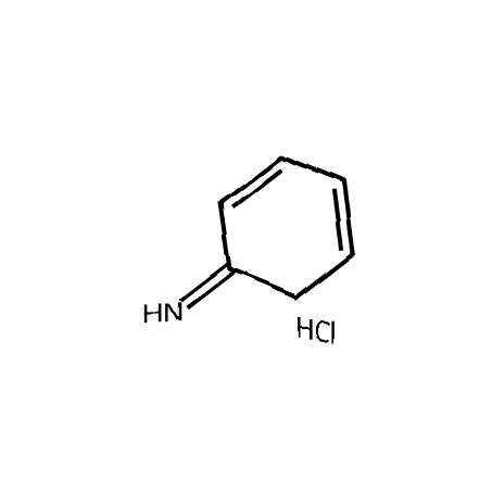 Cl.N=C1C=CC=CC1